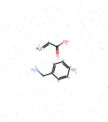 C=CC(=O)O.Cl.NCc1ccccc1